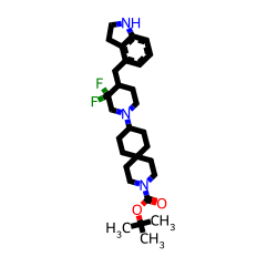 CC(C)(C)OC(=O)N1CCC2(CCC(N3CCC(Cc4cccc5c4CCN5)C(F)(F)C3)CC2)CC1